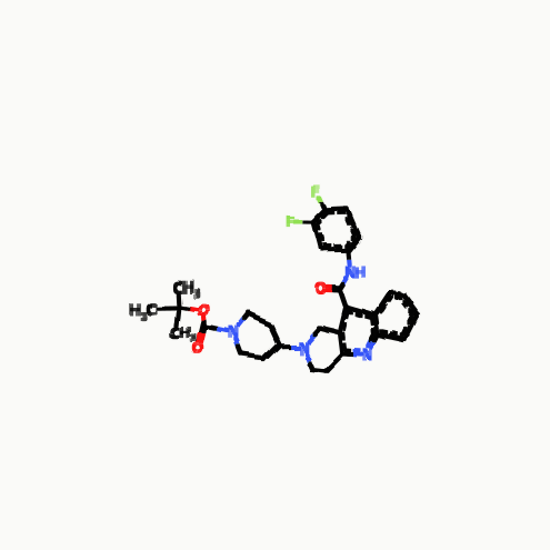 CC(C)(C)OC(=O)N1CCC(N2CCc3nc4ccccc4c(C(=O)Nc4ccc(F)c(F)c4)c3C2)CC1